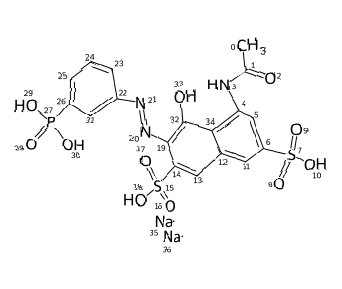 CC(=O)Nc1cc(S(=O)(=O)O)cc2cc(S(=O)(=O)O)c(N=Nc3cccc(P(=O)(O)O)c3)c(O)c12.[Na].[Na]